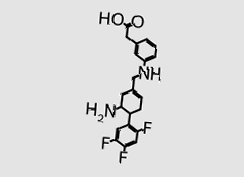 NC1CC(CNc2cccc(CC(=O)O)c2)=CCC1c1cc(F)c(F)cc1F